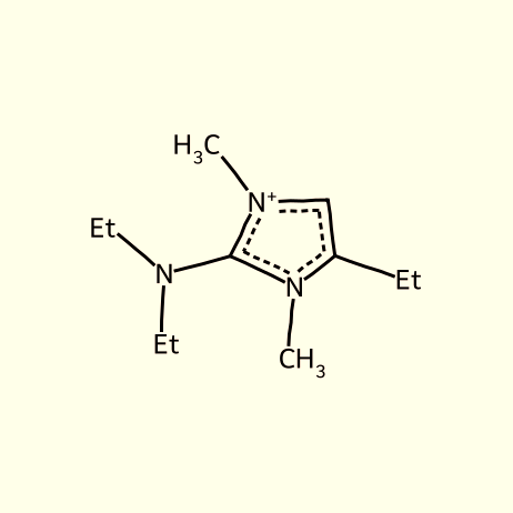 CCc1c[n+](C)c(N(CC)CC)n1C